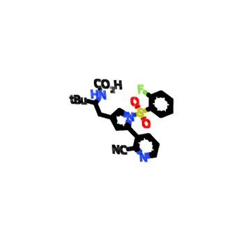 CC(C)(C)C(Cc1cc(-c2cccnc2C#N)n(S(=O)(=O)c2ccccc2F)c1)NC(=O)O